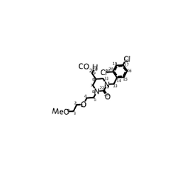 COCCOCCN1CC(CC(=O)O)CN(Cc2ccc(Cl)cc2Cl)C1=O